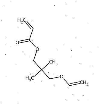 C=COCC(C)(C)COC(=O)C=C